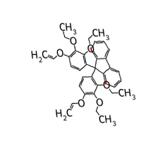 C=COc1ccc(C2(c3ccc(OC=C)c(OCC)c3OCC)c3ccccc3-c3ccccc32)c(OCC)c1OCC